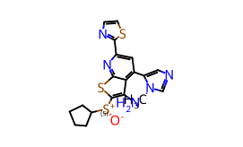 Cn1cncc1-c1cc(-c2nccs2)nc2sc([S@+]([O-])C3CCCC3)c(N)c12